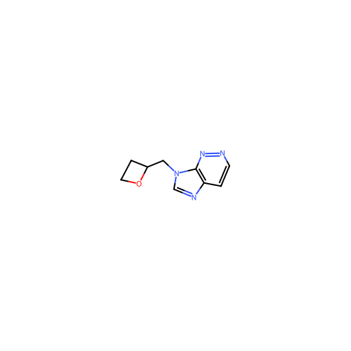 c1cc2ncn(CC3CCO3)c2nn1